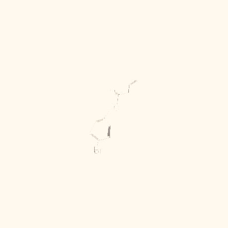 C=CCC(=O)OCc1ccc(Br)cc1